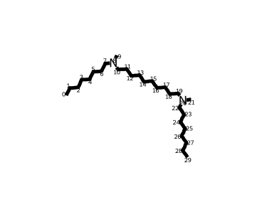 CCCCCCCCN(C)CCCCCCCCCCN(C)CCCCCCCC